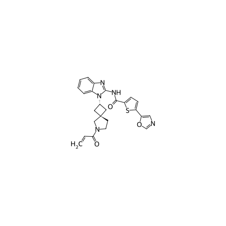 C=CC(=O)N1CC[C@]2(C1)C[C@@H](n1c(NC(=O)c3ccc(-c4cnco4)s3)nc3ccccc31)C2